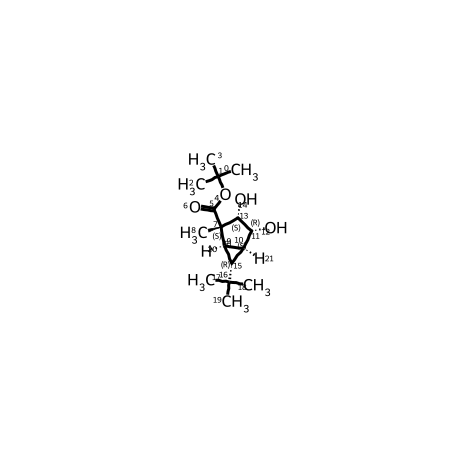 CC(C)(C)OC(=O)[C@@]1(C)[C@H]2[C@@H]([C@@H](O)[C@H]1O)[C@@H]2C(C)(C)C